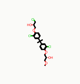 COC[C@@H](O)COc1ccc(C(C)(C)c2ccc(OC[C@@H](O)CCl)c(Cl)c2)cc1Cl